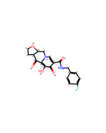 O=C(NCc1ccc(F)cc1)c1cn2c(c(O)c1=O)C(=O)C1CCOC1C2